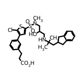 CN(CC(O)CNC(C)(C)CC1Cc2ccccc2C1)S(=O)(=O)c1cc(-c2cccc(CCC(=O)O)c2)c(Cl)s1